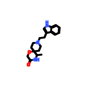 CC1NC(=O)COC12CCN(CCc1c[nH]c3ccccc13)CC2